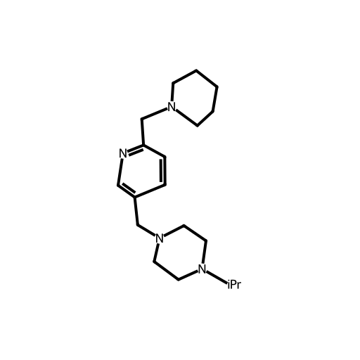 CC(C)N1CCN(Cc2ccc(CN3CCCCC3)nc2)CC1